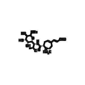 CS[C@H]1O[C@H]([C@H](NC(=O)[C@@H]2CC=C(/C=C/C=O)CCN2C(=O)O)[C@H](C)Cl)[C@H](O)[C@H](O)[C@H]1O